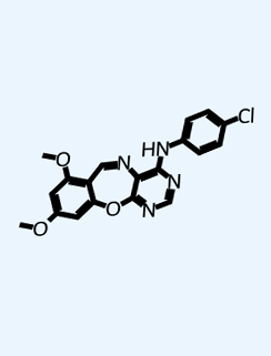 COc1cc(OC)c2c(c1)Oc1ncnc(Nc3ccc(Cl)cc3)c1N=C2